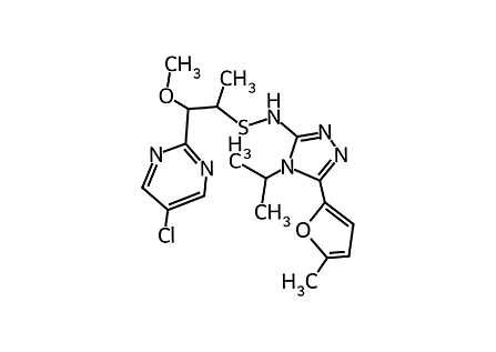 COC(c1ncc(Cl)cn1)C(C)SNc1nnc(-c2ccc(C)o2)n1C(C)C